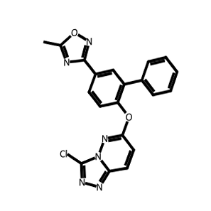 Cc1nc(-c2ccc(Oc3ccc4nnc(Cl)n4n3)c(-c3ccccc3)c2)no1